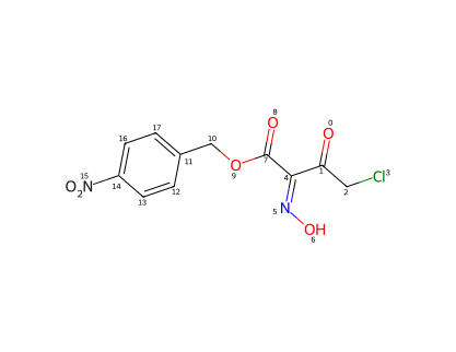 O=C(CCl)C(=NO)C(=O)OCc1ccc([N+](=O)[O-])cc1